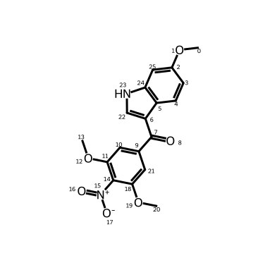 COc1ccc2c(C(=O)c3cc(OC)c([N+](=O)[O-])c(OC)c3)c[nH]c2c1